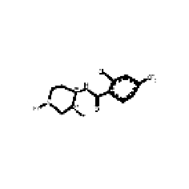 CC(C)N1CC[C@@H](NC(=O)c2ccc(C(F)(F)F)cc2Cl)[C@@H](F)C1